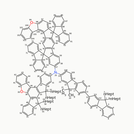 CCCCCCCC1(CCCCCCC)c2ccccc2-c2ccc(-c3ccc4c(c3)C(C)(C)c3cc(N(c5ccc6c(c5)C(CCCCCCC)(CCCCCCC)c5c7c(c8oc9ccccc9c8c5-6)-c5ccccc5C7(CCCCCCC)CCCCCCC)c5ccc6c(c5)C5(c7ccccc7-c7ccccc75)c5cc7c(cc5-6)C5(c6ccccc6-c6ccccc65)c5ccc6oc8ccccc8c6c5-7)ccc3-4)cc21